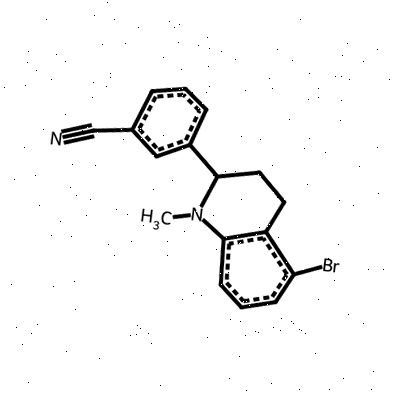 CN1c2cccc(Br)c2CCC1c1cccc(C#N)c1